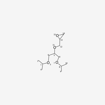 CC(C)OCC(COC(C)C)OCC1CO1